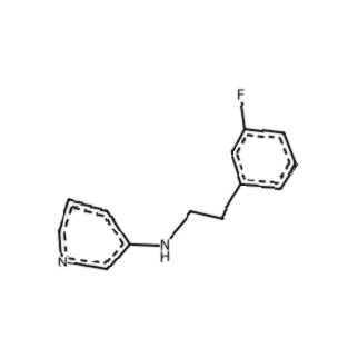 Fc1cccc(CCNc2cccnc2)c1